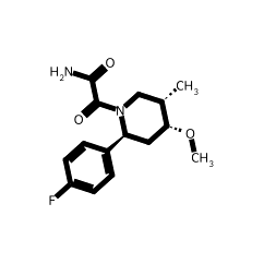 CO[C@@H]1C[C@@H](c2ccc(F)cc2)N(C(=O)C(N)=O)C[C@@H]1C